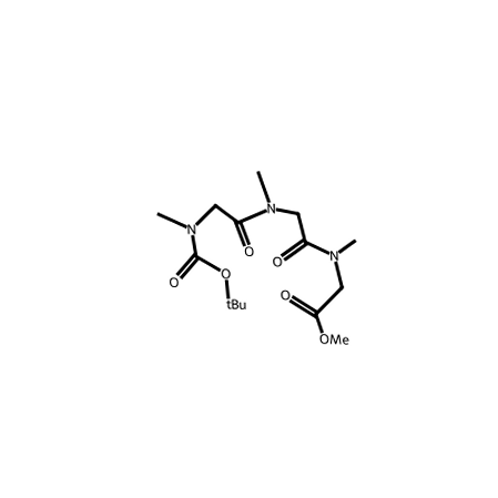 COC(=O)CN(C)C(=O)CN(C)C(=O)CN(C)C(=O)OC(C)(C)C